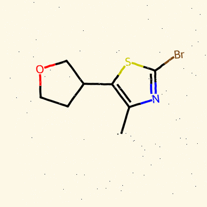 [CH2]c1nc(Br)sc1C1CCOC1